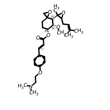 CO[C@@H]1[C@H](OC(=O)/C=C/c2ccc(OCCN(C)C)cc2)CCC2(CO2)[C@H]1C1(C)OC1CC=C(C)C